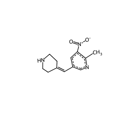 Cc1ncc(C=C2CCNCC2)cc1[N+](=O)[O-]